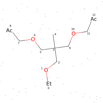 CCOCC(C)(COCC(C)=O)COCC(C)=O